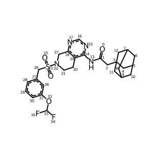 O=C(CC12CC3CC(CC(C3)C1)C2)Nc1ncnc2c1CCN(S(=O)(=O)Cc1cccc(OC(F)F)c1)C2